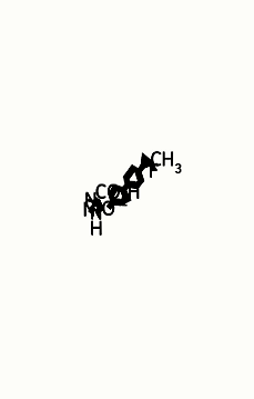 CC1(F)CC1c1ccc(-c2ccc(Oc3[nH]nnc3C(=O)O)cc2)cc1